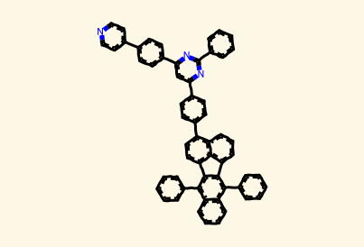 c1ccc(-c2nc(-c3ccc(-c4ccncc4)cc3)cc(-c3ccc(-c4ccc5c6c(cccc46)-c4c-5c(-c5ccccc5)c5ccccc5c4-c4ccccc4)cc3)n2)cc1